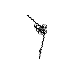 CCCCCCCCCCCCCCCCCC(=O)O[C@@H](CO)C(OP(=O)([O-])OCC[N+](C)(C)C)C(=O)CCCCCCCCCCCCC